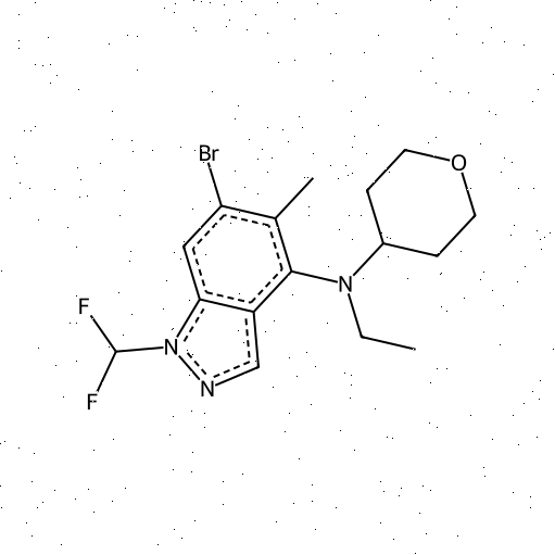 CCN(c1c(C)c(Br)cc2c1cnn2C(F)F)C1CCOCC1